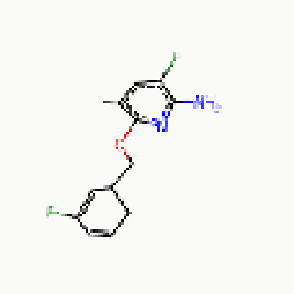 Cc1cc(F)c(N)nc1OCC1C=C(F)C=CC1